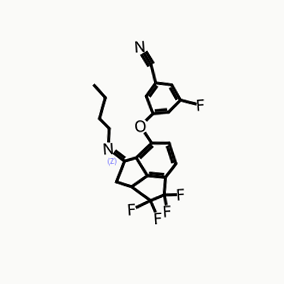 CCCC/N=C1/CC2c3c(ccc(Oc4cc(F)cc(C#N)c4)c31)C(F)(F)C2(F)F